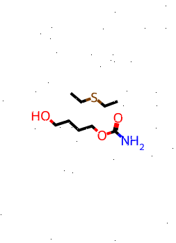 CCSCC.NC(=O)OCCCCO